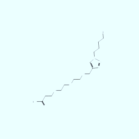 CC(C)CCCCn1cc(COCCOCCOCCC(=O)C(C)C)nn1